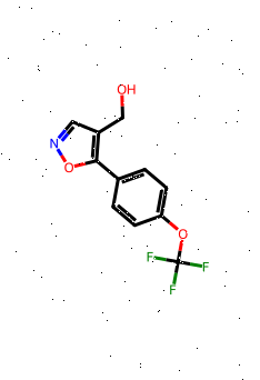 OCc1cnoc1-c1ccc(OC(F)(F)F)cc1